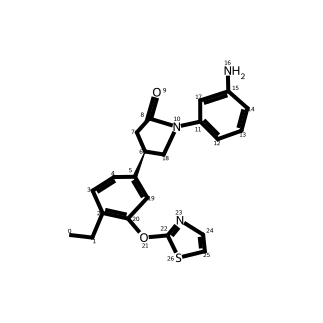 CCc1ccc([C@H]2CC(=O)N(c3cccc(N)c3)C2)cc1Oc1nccs1